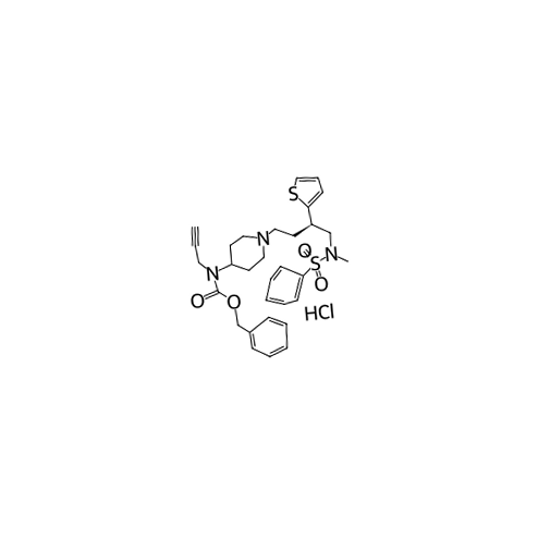 C#CCN(C(=O)OCc1ccccc1)C1CCN(CC[C@H](CN(C)S(=O)(=O)c2ccccc2)c2cccs2)CC1.Cl